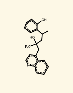 CC(CC(O)(Cc1ccnc2ccccc12)C(F)(F)F)c1ccccc1O